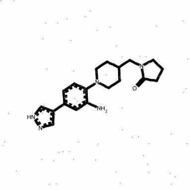 Nc1cc(-c2cn[nH]c2)ccc1N1CCC(CN2CCCC2=O)CC1